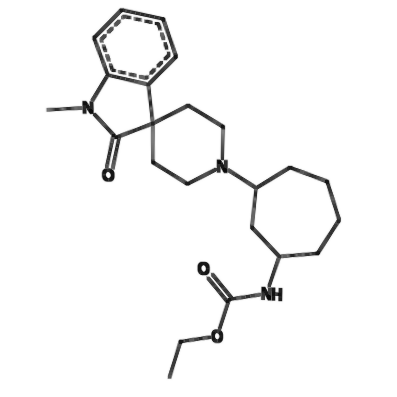 CCOC(=O)NC1CCCCC(N2CCC3(CC2)C(=O)N(C)c2ccccc23)C1